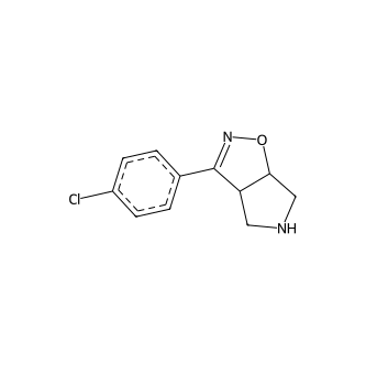 Clc1ccc(C2=NOC3CNCC23)cc1